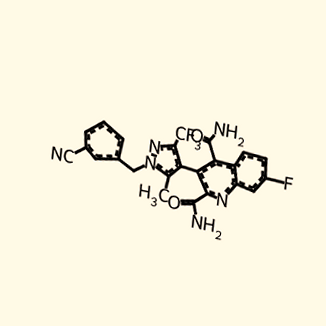 Cc1c(-c2c(C(N)=O)nc3cc(F)ccc3c2C(N)=O)c(C(F)(F)F)nn1Cc1cccc(C#N)c1